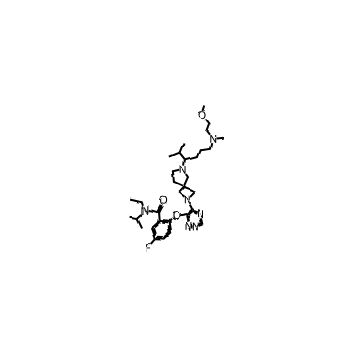 CCN(C(=O)c1cc(F)ccc1Oc1nncnc1N1CC2(CCN(C(CCCN(C)CCOC)C(C)C)C2)C1)C(C)C